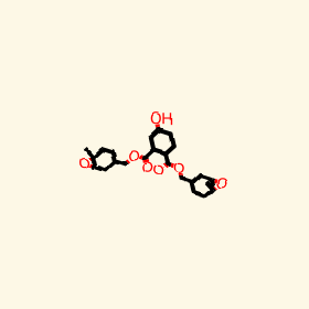 CC12CCC(COC(=O)C3CCC(O)CC3C(=O)OCC3CCC4(C)OC4C3)CC1O2